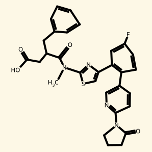 CN(C(=O)C(CC(=O)O)Cc1ccccc1)c1nc(-c2cc(F)ccc2-c2ccc(N3CCCC3=O)nc2)cs1